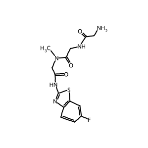 CN(CC(=O)Nc1nc2ccc(F)cc2s1)C(=O)CNC(=O)CN